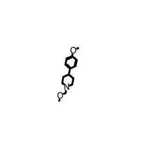 COCN1CCC(c2ccc(OC)cc2)CC1